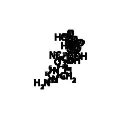 C=C1N=C(N)C=CN1[C@@H]1O[C@](C#N)(COP(=O)(O)OP(=O)(O)OP(=O)(O)O)[C@@H](O)[C@H]1Cl